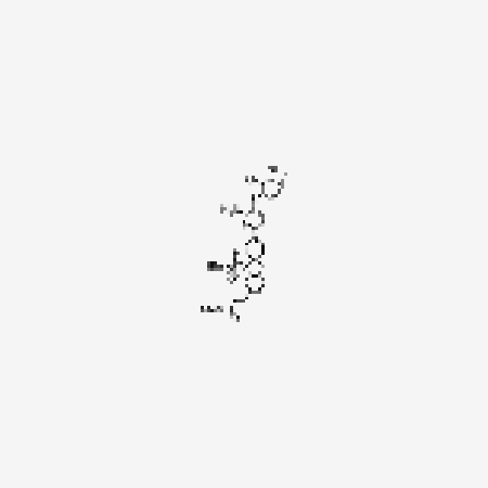 CNC(=O)CCc1ccc2c(c1)[C@@H](N[S@+]([O-])C(C)(C)C)C1(CCN(c3cnc(Sc4ccnc(N)c4Cl)c(N)n3)CC1)C2